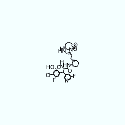 O=C(O)NC(C(=O)N[C@H]1CCCC[C@@H]1CC[C@H]1CN[C@@H]2CCCS(=O)(=O)N1C2)C(c1cncc(F)c1)c1ccc(Cl)c(F)c1